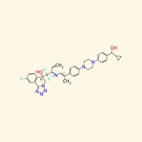 C=C/C(=N\C=C(/C)c1ccc(N2CCN(c3ccc(C(O)C4CC4)cc3)CC2)cc1)C(F)(F)[C@]1(O)Cn2nnnc2-c2cc(F)ccc21